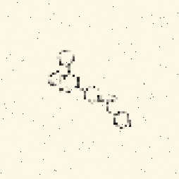 O=C(Cc1ccncc1)N1CCC(C(O)CC2c3ccccc3-c3cncn32)CC1